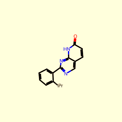 CC(C)c1ccccc1-c1ncc2ccc(=O)[nH]c2n1